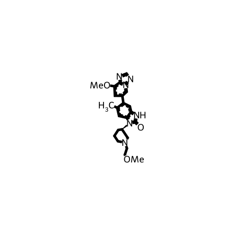 COCCN1CCC[C@@H](n2c(=O)[nH]c3cc(-c4cc(OC)c5ncnn5c4)c(C)cc32)C1